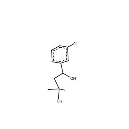 CC(C)(O)CC(O)c1cccc(Cl)c1